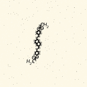 C=CC(=O)Oc1ccc(CCc2ccc3cc(CCc4ccc(OC(=O)C=C)cc4)ccc3c2)cc1